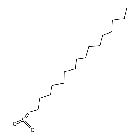 CCCCCCCCCCCCCCCCC=S(=O)=O